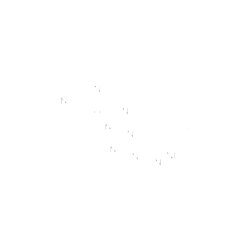 O=C(Nc1cccnc1)C1CCCN1c1nc(Nc2cc(C3CC3)[nH]n2)n2cccc2n1